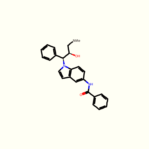 CNC[C@@H](O)[C@H](c1ccccc1)n1ccc2cc(NC(=O)c3ccccc3)ccc21